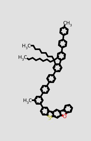 CCCCCCCCC1(CCCCCCCC)c2cc(-c3ccc(-c4ccc(C)cc4)cc3)ccc2-c2ccc(-c3ccc(-c4ccc(-c5cc(C)cc(-c6ccc7sc8cc9oc%10ccccc%10c9cc8c7c6)c5)cc4)cc3)cc21